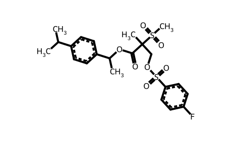 CC(C)c1ccc(C(C)OC(=O)C(C)(COS(=O)(=O)c2ccc(F)cc2)S(C)(=O)=O)cc1